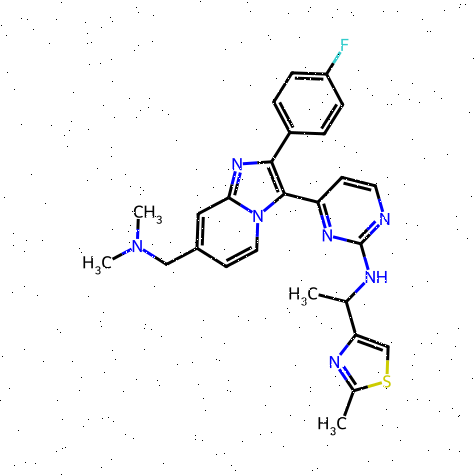 Cc1nc(C(C)Nc2nccc(-c3c(-c4ccc(F)cc4)nc4cc(CN(C)C)ccn34)n2)cs1